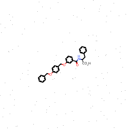 O=C(N[C@@H](Cc1ccccc1)C(=O)O)c1cccc(OCc2ccc(OCc3ccccc3)cc2)c1